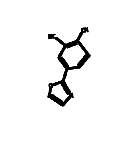 N#Cc1ccc(-c2nc[c]o2)cc1C#N